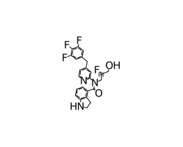 O=C(c1cccc2c1CCN2)N(C[C@@H](F)CO)c1cc(Cc2cc(F)c(F)c(F)c2)ccn1